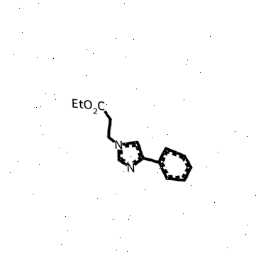 CCOC(=O)CCn1cnc(-c2ccccc2)c1